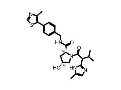 Cc1cnc(C(C(=O)N2C[C@H](O)C[C@H]2C(=O)NCc2ccc(-c3scnc3C)cc2)C(C)C)[nH]1